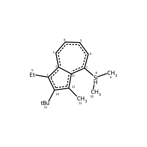 CCc1c2ccccc([SiH](C)C)c-2c(C)c1C(C)(C)C